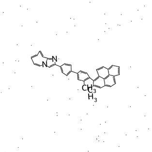 Cc1cc(-c2ccc(-c3cn4c(n3)/C=C/C=C/C=C\4)cc2)ccc1-c1c(C)cc2ccc3cccc4ccc1c2c34